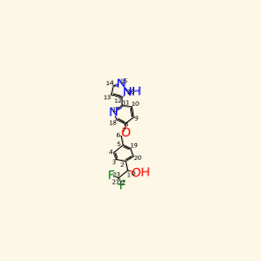 OC(c1ccc(COc2ccc(-c3ccn[nH]3)nc2)cc1)C(F)F